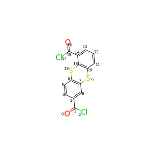 O=C(Cl)c1ccc2c(c1)Sc1cccc(C(=O)Cl)c1S2